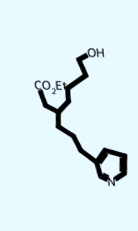 CCOC(=O)CC(CCCCO)CCCc1cccnc1